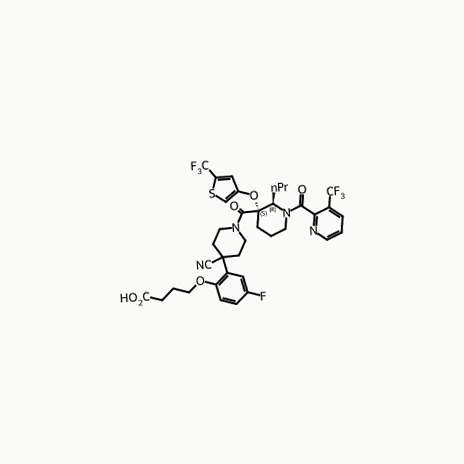 CCC[C@H]1N(C(=O)c2ncccc2C(F)(F)F)CCC[C@@]1(Oc1csc(C(F)(F)F)c1)C(=O)N1CCC(C#N)(c2cc(F)ccc2OCCCC(=O)O)CC1